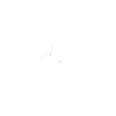 C[Te]C(C)(C)C(C)=O